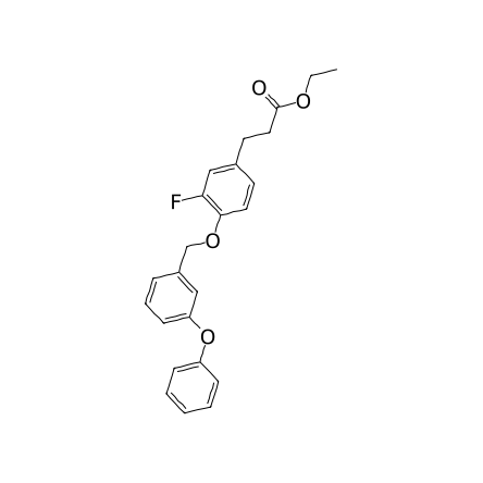 CCOC(=O)CCc1ccc(OCc2cccc(Oc3ccccc3)c2)c(F)c1